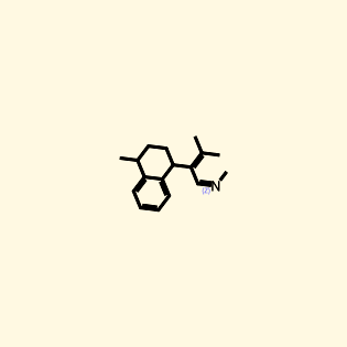 C/N=C\C(=C(C)C)C1CCC(C)c2ccccc21